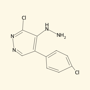 NNc1c(-c2ccc(Cl)cc2)cnnc1Cl